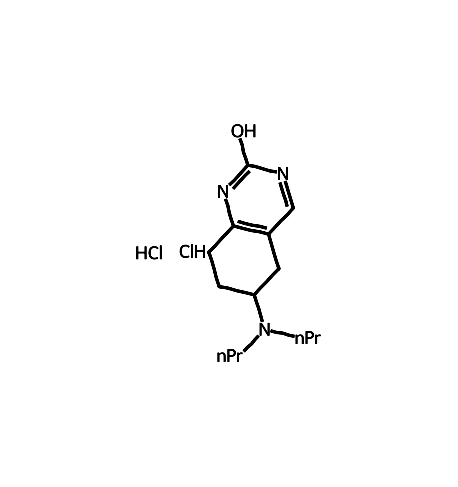 CCCN(CCC)C1CCc2nc(O)ncc2C1.Cl.Cl